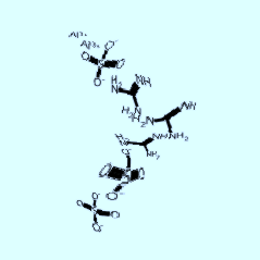 N=C(N)N.N=C(N)N.N=C(N)N.O=S(=O)([O-])[O-].O=S(=O)([O-])[O-].O=S(=O)([O-])[O-].[Al+3].[Al+3]